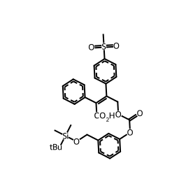 CC(C)(C)[Si](C)(C)OCc1cccc(OC(=O)OCC(=C(C(=O)O)c2ccccc2)c2ccc(S(C)(=O)=O)cc2)c1